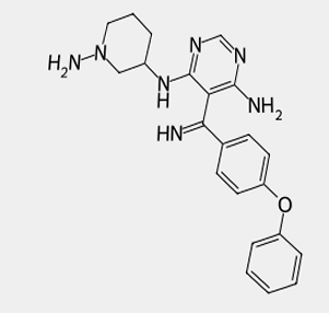 N=C(c1ccc(Oc2ccccc2)cc1)c1c(N)ncnc1NC1CCCN(N)C1